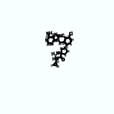 N#Cc1c(Cl)ccc(N2CCC(N)(C(=O)NC3CC3)C2)c1Cn1cnc2c(N)ncnc21